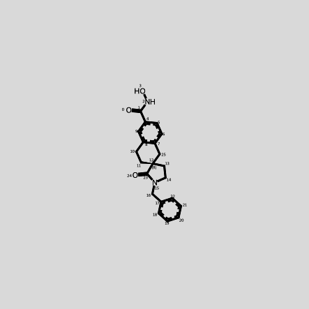 O=C(NO)c1ccc2c(c1)CC[C@]1(CCN(Cc3ccccc3)C1=O)C2